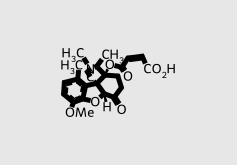 COc1ccc(C)c2c1O[C@H]1C(=O)CC[C@@]3(OC(=O)/C=C\C(=O)O)C(C)N(C)CC[C@]213